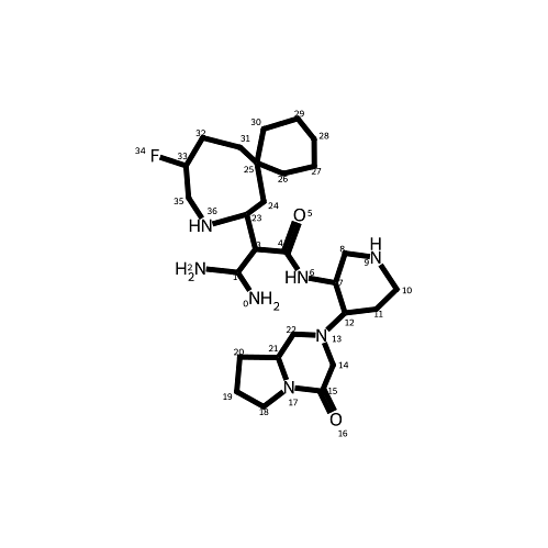 NC(N)C(C(=O)NC1CNCCC1N1CC(=O)N2CCCC2C1)C1CC2(CCCCC2)CCC(F)CN1